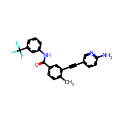 Cc1ccc(C(=O)Nc2cccc(C(F)(F)F)c2)cc1C#Cc1ccc(N)nc1